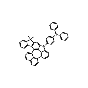 CC1(C)c2ccccc2-c2c1cc1c3c2-c2cccc4cccc(c24)-c2cccc(c23)n1-c1ccc(N(c2ccccc2)c2ccccc2)cc1